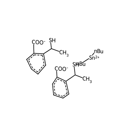 CC(S)c1ccccc1C(=O)[O-].CC(S)c1ccccc1C(=O)[O-].CCC[CH2][Sn+2][CH2]CCC